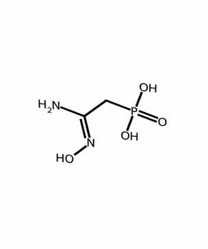 NC(CP(=O)(O)O)=NO